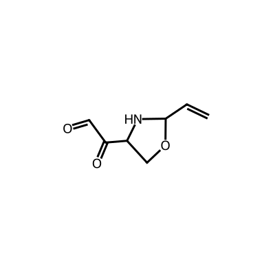 C=CC1NC(C(=O)C=O)CO1